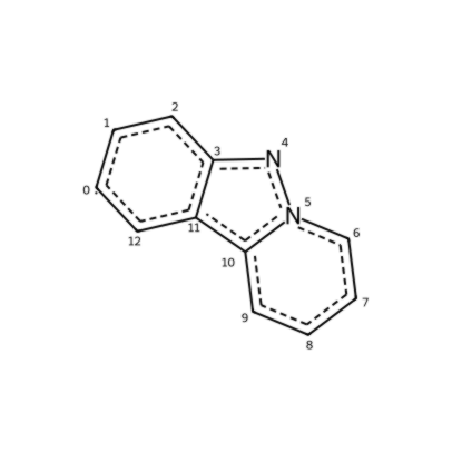 [c]1ccc2nn3ccccc3c2c1